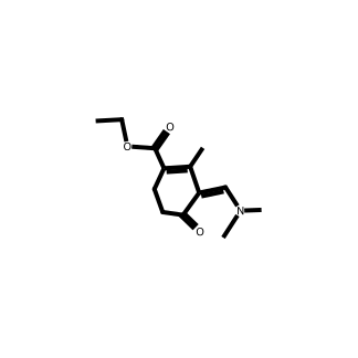 CCOC(=O)C1=C(C)C(=CN(C)C)C(=O)CC1